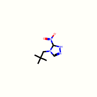 CC(C)(C)CN1C=NNC1[N+](=O)[O-]